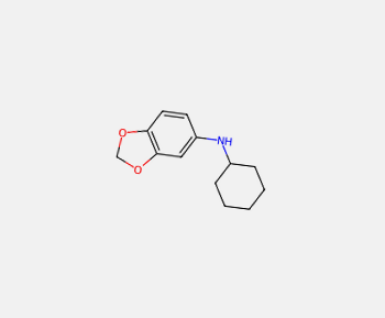 c1cc2c(cc1NC1CCCCC1)OCO2